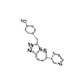 Oc1ccc(Cc2nnc3ccc(-c4cnccn4)nn23)cc1